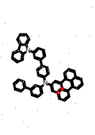 c1ccc(-c2cccc(N(c3ccc(-c4cccc(-n5c6ccccc6c6ccccc65)c4)cc3)c3cccc(-c4cccc5cccc(-c6ccccc6)c45)c3)c2)cc1